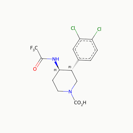 O=C(O)N1CC[C@@H](NC(=O)C(F)(F)F)[C@H](c2ccc(Cl)c(Cl)c2)C1